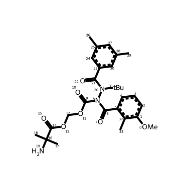 COc1cccc(C(=O)N(C(=O)OCOC(=O)C(C)(C)N)N(C(=O)c2cc(C)cc(C)c2)C(C)(C)C)c1C